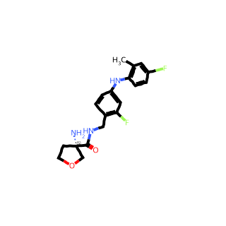 Cc1cc(F)ccc1Nc1ccc(CNC(=O)[C@]2(N)CCOC2)c(F)c1